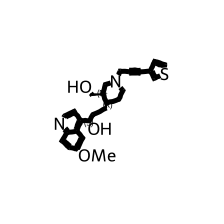 COc1ccc2nccc([C@@H](O)CC[C@@H]3CCN(CC#Cc4ccsc4)C[C@@H]3CO)c2c1